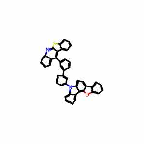 c1cc(-c2cccc(-n3c4ccccc4c4c5oc6ccccc6c5ccc43)c2)cc(-c2c3ccccc3nc3sc4ccccc4c23)c1